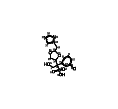 O=S(=O)(O)C(CO)(c1cccc(Cl)c1)C1COC(Cn2cncn2)O1